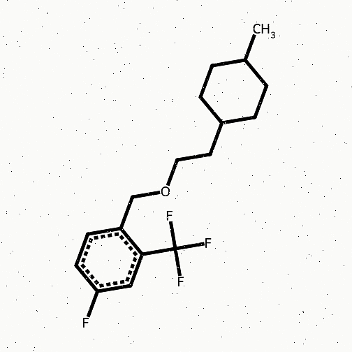 CC1CC[C](CCOCc2ccc(F)cc2C(F)(F)F)CC1